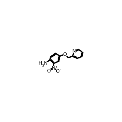 Nc1ccc(OCc2ccccn2)cc1[N+](=O)[O-]